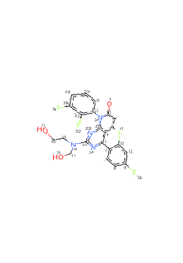 O=c1ccc2c(-c3ccc(F)cc3F)nc(N(CO)CCO)nc2n1-c1cccc(F)c1F